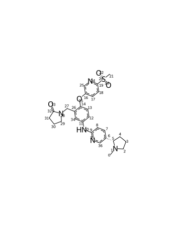 CN1CCC[C@H]1c1ccc(Nc2ccc(Oc3ccc(S(C)(=O)=O)nc3)c(CN3CCCC3=O)c2)nc1